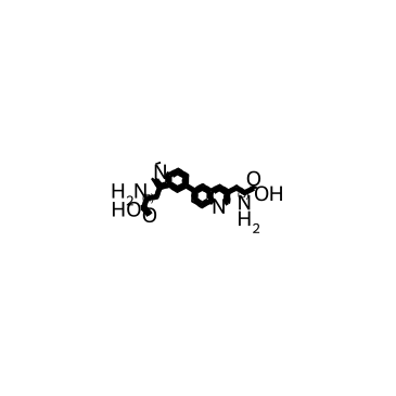 Cn1cc(C[C@@H](N)C(=O)O)c2cc(-c3ccc4ncc(C[C@H](N)C(=O)O)cc4c3)ccc21